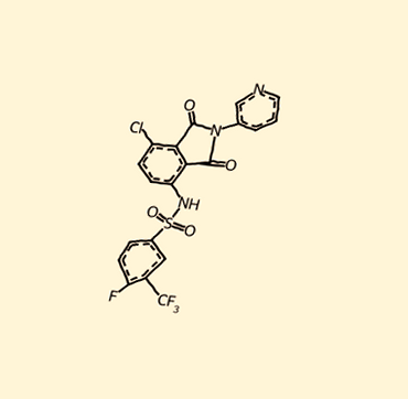 O=C1c2c(Cl)ccc(NS(=O)(=O)c3ccc(F)c(C(F)(F)F)c3)c2C(=O)N1c1cccnc1